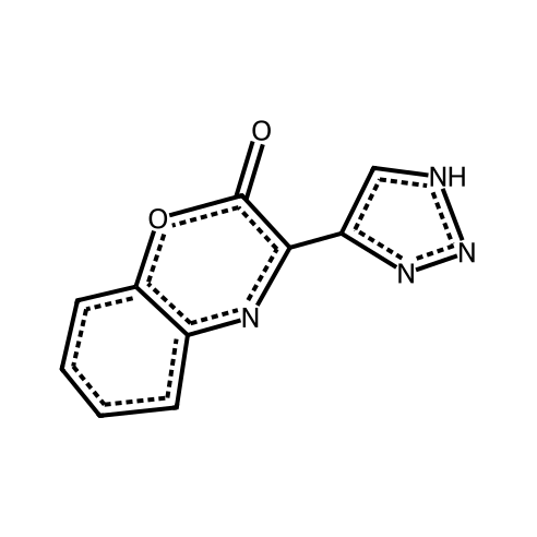 O=c1oc2ccccc2nc1-c1c[nH]nn1